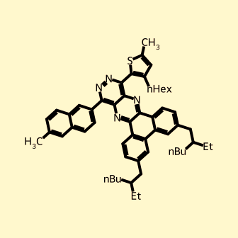 CCCCCCc1cc(C)sc1-c1nnc(-c2ccc3cc(C)ccc3c2)c2nc3c4ccc(CC(CC)CCCC)cc4c4cc(CC(CC)CCCC)ccc4c3nc12